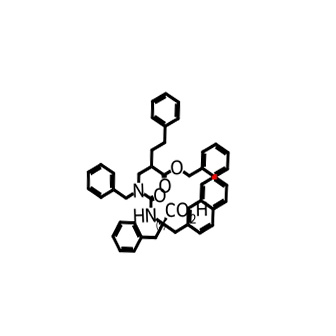 O=C(OCc1ccccc1)C(CCc1ccccc1)CN(Cc1ccccc1)C(=O)N[C@@](Cc1ccccc1)(Cc1ccc2ccccc2c1)C(=O)O